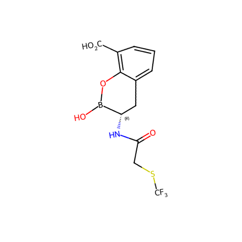 O=C(CSC(F)(F)F)N[C@H]1Cc2cccc(C(=O)O)c2OB1O